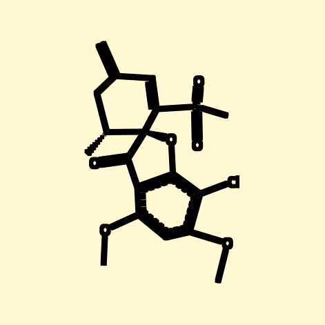 C=C1C=C(S(C)(=O)=O)[C@@]2(Oc3c(Cl)c(OC)cc(OC)c3C2=O)[C@H](C)C1